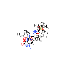 CC(C)CC(C)(CS(=O)(=O)C(C)(C)C)NC(=O)N[C@H](C(=O)N1CCC(C(C)(C)C)[C@H]1C(=O)NC(CC1CC1)C(=O)C(N)=O)C(C)(C)C